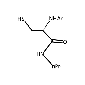 CC[CH]NC(=O)[C@H](CS)NC(C)=O